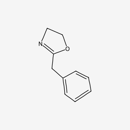 c1ccc(CC2=NCCO2)cc1